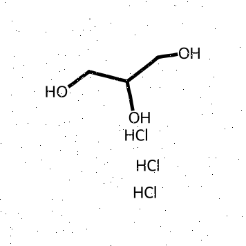 Cl.Cl.Cl.OCC(O)CO